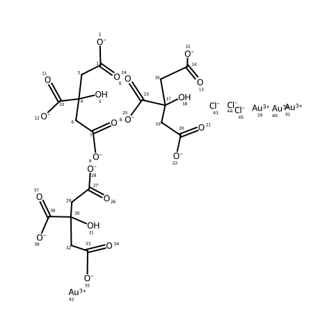 O=C([O-])CC(O)(CC(=O)[O-])C(=O)[O-].O=C([O-])CC(O)(CC(=O)[O-])C(=O)[O-].O=C([O-])CC(O)(CC(=O)[O-])C(=O)[O-].[Au+3].[Au+3].[Au+3].[Au+3].[Cl-].[Cl-].[Cl-]